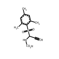 C#CC(NC(=O)O)S(=O)(=O)c1c(C)cc(C)cc1C